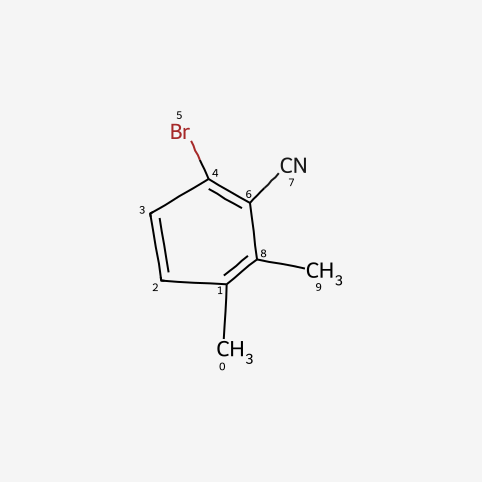 Cc1ccc(Br)c(C#N)c1C